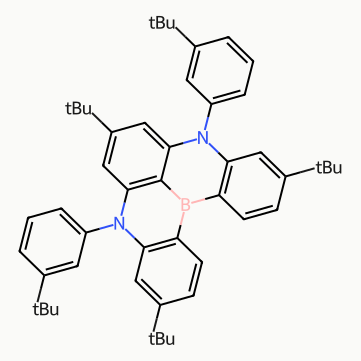 CC(C)(C)c1cccc(N2c3cc(C(C)(C)C)ccc3B3c4ccc(C(C)(C)C)cc4N(c4cccc(C(C)(C)C)c4)c4cc(C(C)(C)C)cc2c43)c1